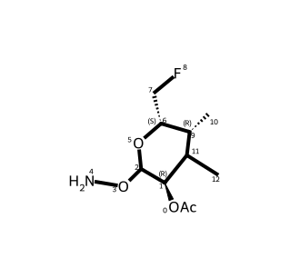 CC(=O)O[C@H]1C(ON)O[C@H](CF)[C@H](C)C1C